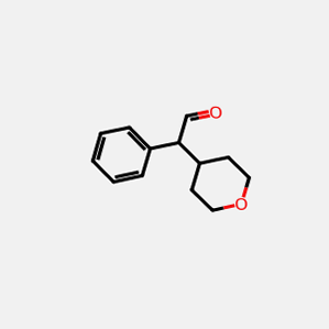 O=CC(c1ccccc1)C1CCOCC1